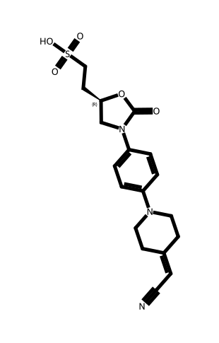 N#CC=C1CCN(c2ccc(N3C[C@@H](CCS(=O)(=O)O)OC3=O)cc2)CC1